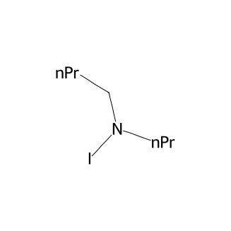 CCCCN(I)CCC